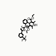 CCOC(=O)C1=C(C)NC(C)=C(C(=O)OCC)C1c1ccccc1Nc1nc(-c2cccc(C(F)(F)F)c2)cs1